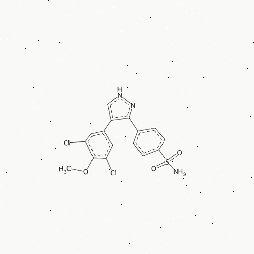 COc1c(Cl)cc(-c2c[nH]nc2-c2ccc(S(N)(=O)=O)cc2)cc1Cl